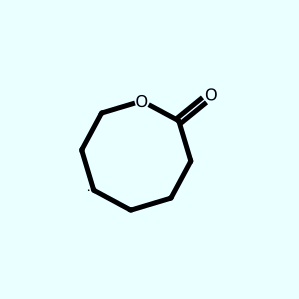 O=C1CCC[CH]CCO1